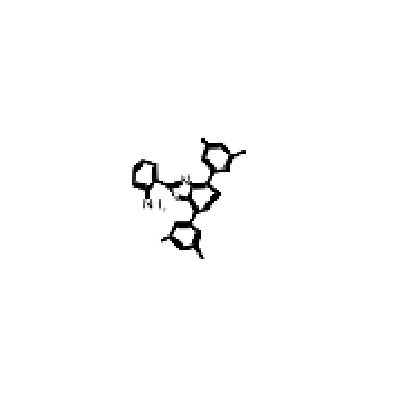 Cc1cc(C)cc(-c2ccc(-c3cc(C)cc(C)c3)c3sc(-c4ccccc4N)nc23)c1